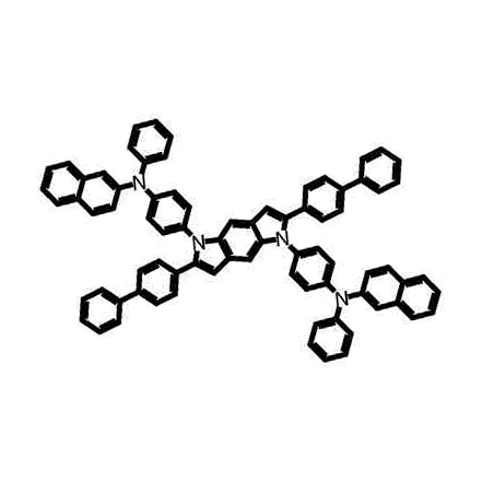 c1ccc(-c2ccc(-c3cc4cc5c(cc(-c6ccc(-c7ccccc7)cc6)n5-c5ccc(N(c6ccccc6)c6ccc7ccccc7c6)cc5)cc4n3-c3ccc(N(c4ccccc4)c4ccc5ccccc5c4)cc3)cc2)cc1